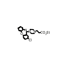 CCOC(=O)CCN1CCN(C2=Nc3ccccc3Oc3ccc(Cl)cc32)CC1